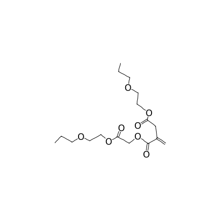 C=C(CC(=O)OCCOCCC)C(=O)OCC(=O)OCCOCCC